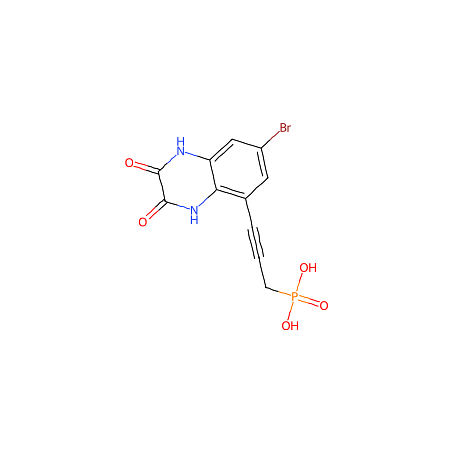 O=c1[nH]c2cc(Br)cc(C#CCP(=O)(O)O)c2[nH]c1=O